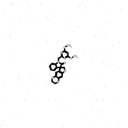 COc1cc(OC)nc(CN2C(=O)C3(COc4cc5c(cc43)OCCO5)c3ccccc32)n1